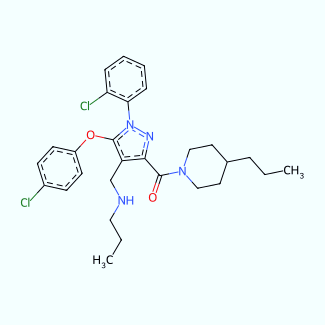 CCCNCc1c(C(=O)N2CCC(CCC)CC2)nn(-c2ccccc2Cl)c1Oc1ccc(Cl)cc1